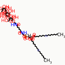 CCCCCCCC/C=C/CCCCCCCC(=O)OC[C@@H](COP(C)(=O)OCCNC(=O)CCCCC(=O)NCCO[C@@H]1OC(CO)[C@@H](O[C@@H]2OC(CO)[C@H](O[C@H]3OC(CO)[C@H](O)[C@H](O)C3O)[C@H](O)C2O)[C@H](O)C1O)OC(=O)CCCCCCC/C=C/CCCCCCCC